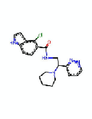 O=C(NCC(c1cccnn1)N1CCCCC1)c1ccc2[nH]ccc2c1Cl